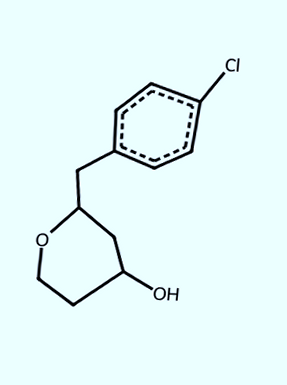 OC1CCOC(Cc2ccc(Cl)cc2)C1